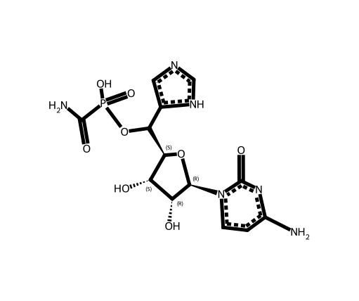 NC(=O)P(=O)(O)OC(c1cnc[nH]1)[C@H]1O[C@@H](n2ccc(N)nc2=O)[C@H](O)[C@@H]1O